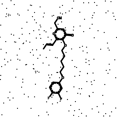 C/C=C/c1oc(CO)cc(=O)c1OCCCCCOc1ccc(F)c(F)c1